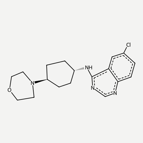 Clc1ccc2ncnc(N[C@H]3CC[C@H](N4CCOCC4)CC3)c2c1